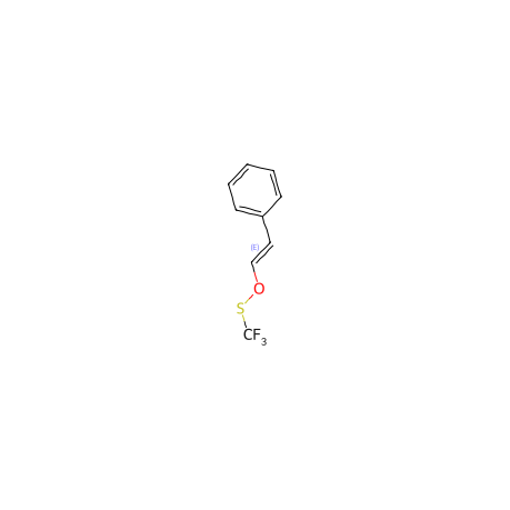 FC(F)(F)SO/C=C/c1ccccc1